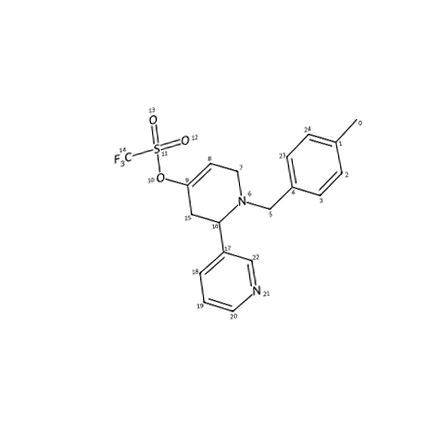 Cc1ccc(CN2CC=C(OS(=O)(=O)C(F)(F)F)CC2c2cccnc2)cc1